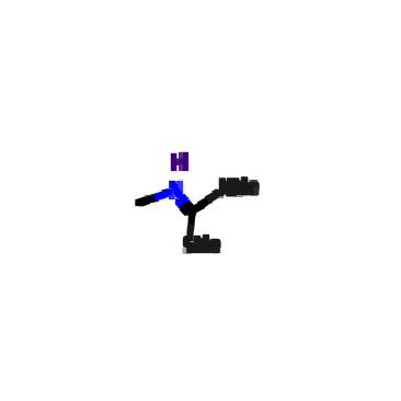 C/N=C(/NC)SC.I